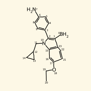 Bc1c(-c2ccc(N)cc2)n(CC2CC2)c2cc(OCC)ccc12